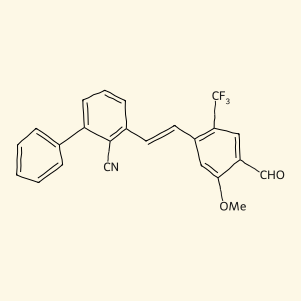 COc1cc(/C=C/c2cccc(-c3ccccc3)c2C#N)c(C(F)(F)F)cc1C=O